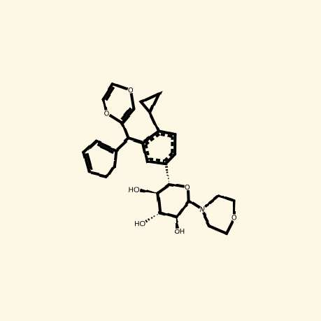 O[C@@H]1[C@@H](O)[C@H](c2ccc(C3CC3)c(C(C3=CC=CCC3)C3=COC=CO3)c2)OC(N2CCOCC2)[C@H]1O